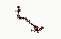 Cc1ncsc1-c1ccc(CNC(=O)[C@@H]2C[C@@H](O)CN2C(=O)[C@@H](NC(=O)CCOCCOCCOCCOCCOCCC(=O)N2CCN(c3ccc(C(=O)N4CCC(CCCCNC(=O)/C=C/c5cccnc5)CC4)nn3)CC2)C(C)(C)C)cc1